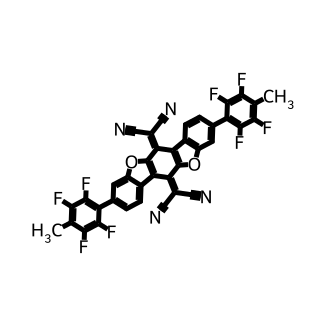 Cc1c(F)c(F)c(-c2ccc3c(c2)oc2c(=C(C#N)C#N)c4c(oc5cc(-c6c(F)c(F)c(C)c(F)c6F)ccc54)c(=C(C#N)C#N)c23)c(F)c1F